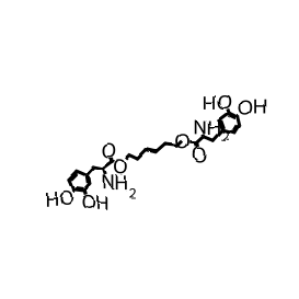 NC(Cc1ccc(O)c(O)c1)C(=O)OCCCCCCOC(=O)C(N)Cc1ccc(O)c(O)c1